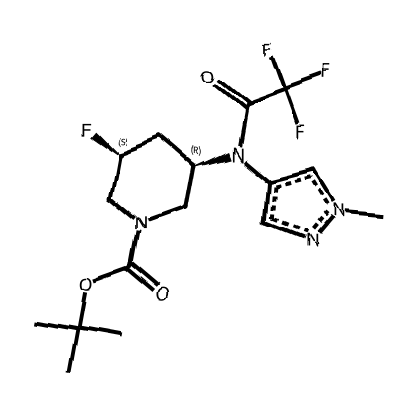 Cn1cc(N(C(=O)C(F)(F)F)[C@@H]2C[C@H](F)CN(C(=O)OC(C)(C)C)C2)cn1